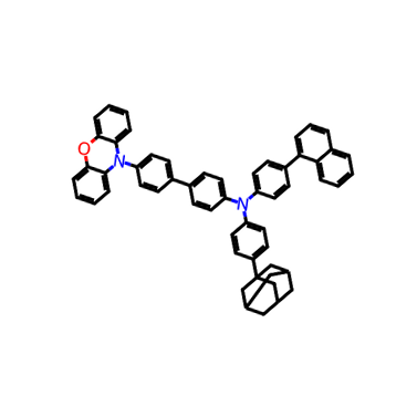 c1ccc2c(c1)Oc1ccccc1N2c1ccc(-c2ccc(N(c3ccc(-c4cccc5ccccc45)cc3)c3ccc(C45CC6CC(CC(C6)C4)C5)cc3)cc2)cc1